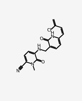 C=C(Cl)/C=C\c1ccc(CNc2ccc(C#N)n(C)c2=O)c(=O)[nH]1